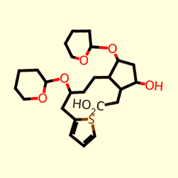 O=C(O)CC1C(O)CC(OC2CCCCO2)C1CCC(Cc1cccs1)OC1CCCCO1